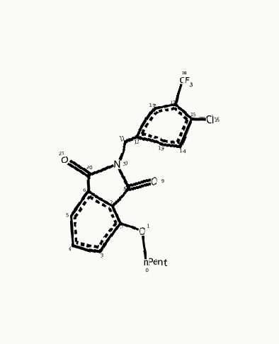 CCCCCOc1cccc2c1C(=O)N(Cc1ccc(Cl)c(C(F)(F)F)c1)C2=O